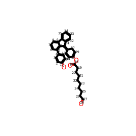 [O]c1ccc(-c2cccc3c2C(=C2C=CC(OC(=O)CCCCCCCC[C]=O)=CC2)c2ccccc2-3)cc1